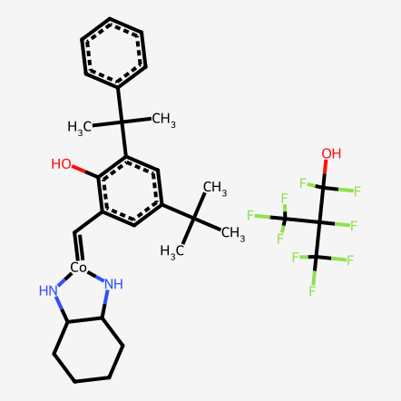 CC(C)(C)c1cc([CH]=[Co]2[NH]C3CCCCC3[NH]2)c(O)c(C(C)(C)c2ccccc2)c1.OC(F)(F)C(F)(C(F)(F)F)C(F)(F)F